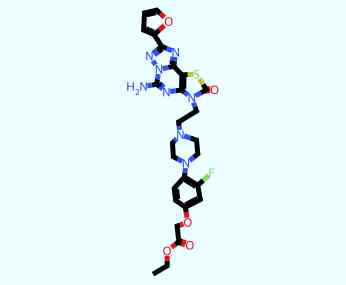 CCOC(=O)COc1ccc(N2CCN(CCn3c(=O)sc4c3nc(N)n3nc(-c5ccco5)nc43)CC2)c(F)c1